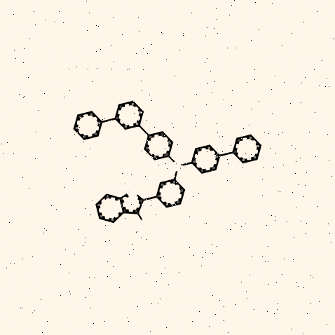 Cc1c(-c2cccc(N(c3ccc(-c4ccccc4)cc3)c3ccc(-c4cccc(-c5ccccc5)c4)cc3)c2)oc2ccccc12